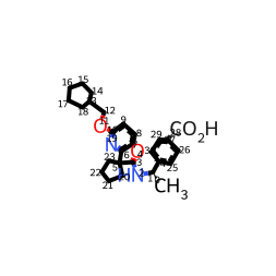 C[C@H](NC(=O)C1(c2cccc(OCC3CCCCC3)n2)CCCC1)c1ccc(C(=O)O)cc1